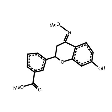 CON=C1CC(c2cccc(C(=O)OC)c2)Oc2cc(O)ccc21